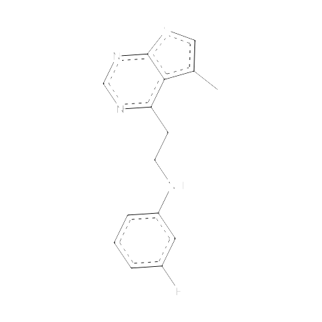 Cc1csc2ncnc(CCNc3cccc(F)c3)c12